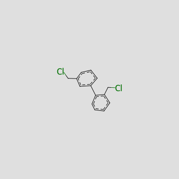 ClCc1cccc(-c2ccccc2CCl)c1